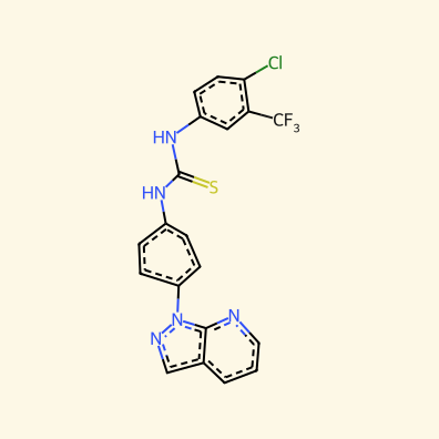 FC(F)(F)c1cc(NC(=S)Nc2ccc(-n3ncc4cccnc43)cc2)ccc1Cl